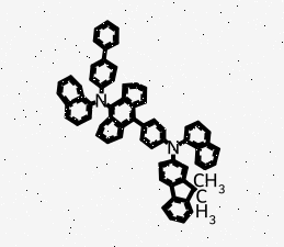 CC1(C)c2ccccc2-c2ccc(N(c3ccc(-c4c5ccccc5c(N(c5ccc(-c6ccccc6)cc5)c5cccc6ccccc56)c5ccccc45)cc3)c3cccc4ccccc34)cc21